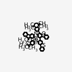 CC(C)(C)c1ccc(N2B3c4cc5c(cc4-n4c6cc7c(cc6c6c8oc9ccccc9c8c(c3c64)-c3cc4sc6ccccc6c4cc32)C(C)(C)CCC7(C)C)-c2ccccc2C5(C)C)cc1